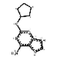 Nc1nc(OC2CCCC2)nc2[nH]cnc12